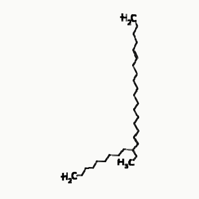 [CH2]CCCC=CCCCCCCCCCCCCC(CC)CCCCCCCC[CH2]